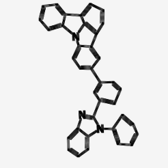 c1ccc(-n2c(-c3cccc(-c4ccc5c(c4)c4cccc6c7ccccc7n5c64)c3)nc3ccccc32)cc1